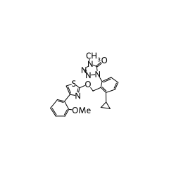 COc1ccccc1-c1csc(OCc2c(C3CC3)cccc2-n2nnn(C)c2=O)n1